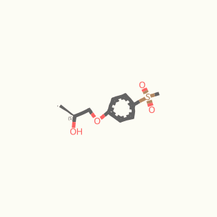 [CH2][C@H](O)COc1ccc(S(C)(=O)=O)cc1